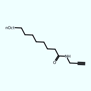 C#CCNC(=O)CCCCCCCCCCCCCCC